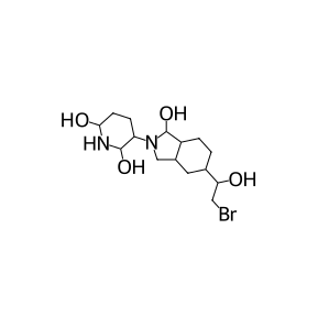 OC1CCC(N2CC3CC(C(O)CBr)CCC3C2O)C(O)N1